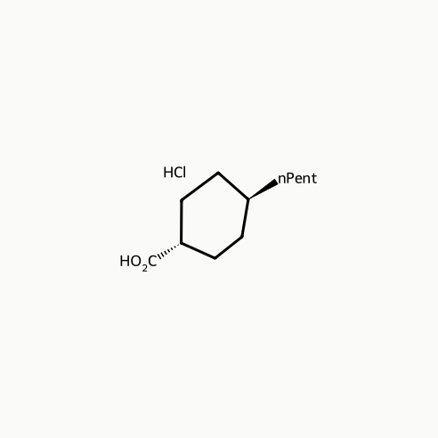 CCCCC[C@H]1CC[C@H](C(=O)O)CC1.Cl